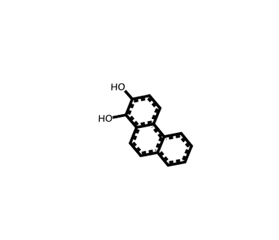 Oc1ccc2c(ccc3ccccc32)c1O